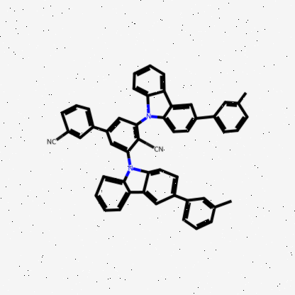 Cc1cccc(-c2ccc3c(c2)c2ccccc2n3-c2cc(-c3cccc(C#N)c3)cc(-n3c4ccccc4c4cc(-c5cccc(C)c5)ccc43)c2C#N)c1